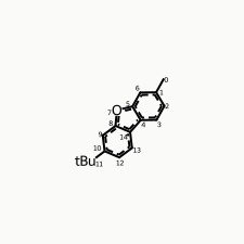 Cc1ccc2c(c1)oc1cc(C(C)(C)C)ccc12